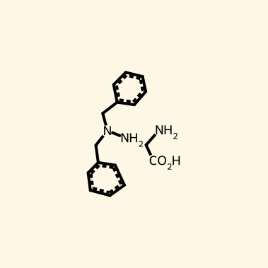 NCC(=O)O.NN(Cc1ccccc1)Cc1ccccc1